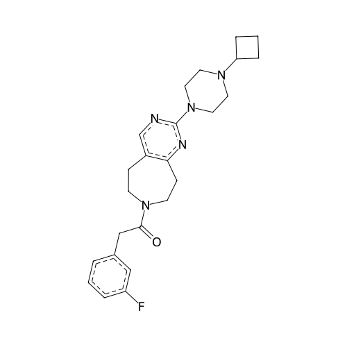 O=C(Cc1cccc(F)c1)N1CCc2cnc(N3CCN(C4CCC4)CC3)nc2CC1